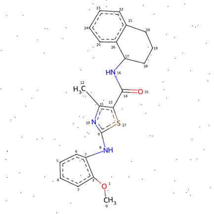 COc1ccccc1Nc1nc(C)c(C(=O)NC2CCCc3ccccc32)s1